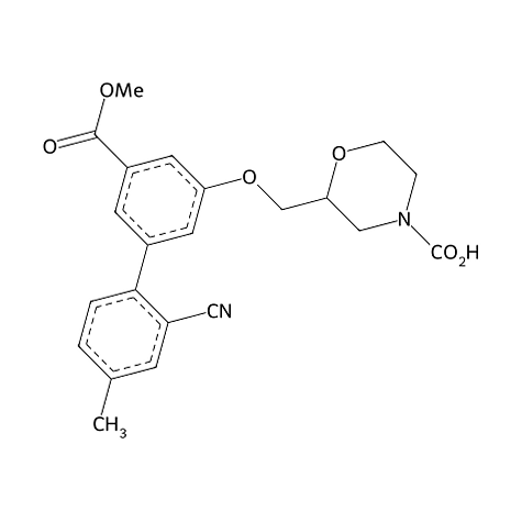 COC(=O)c1cc(OCC2CN(C(=O)O)CCO2)cc(-c2ccc(C)cc2C#N)c1